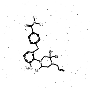 C=CCN1CC(CC)N(c2c(Cc3ccc(C(=O)N(CC)CC)cc3)cccc2OC)CC1(CC)CC